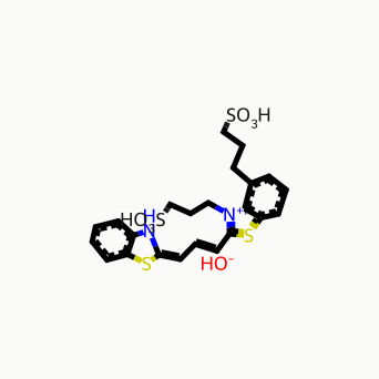 O=S(=O)(O)CCCc1cccc2sc(C=CC=C3Nc4ccccc4S3)[n+](CCCS(=O)(=O)O)c12.[OH-]